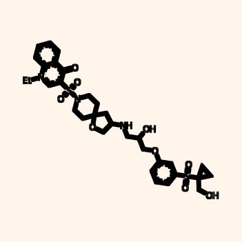 CCn1cc(S(=O)(=O)N2CCC3(CC2)CC(NCC(O)COc2cccc(S(=O)(=O)C4(CO)CC4)c2)CO3)c(=O)c2ccccc21